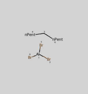 [Br][Al]([Br])[Br].[CH2]CCCCCCCCCC